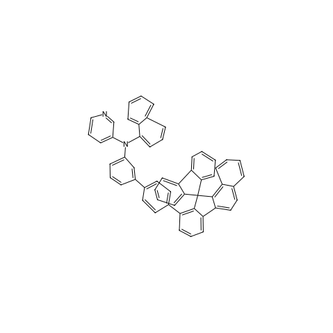 c1cncc(N(c2cccc(-c3ccc(-c4cccc5c4C4(c6ccccc6-c6ccccc64)c4c-5ccc5ccccc45)cc3)c2)c2cccc3ccccc23)c1